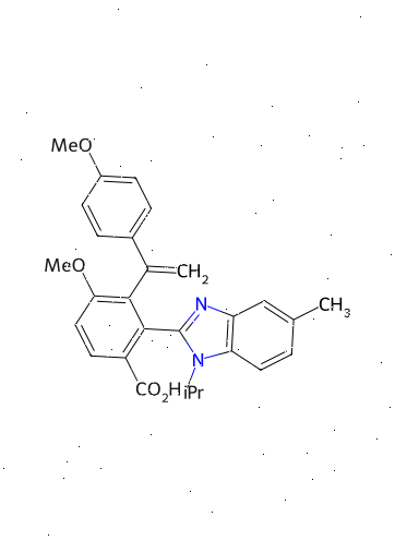 C=C(c1ccc(OC)cc1)c1c(OC)ccc(C(=O)O)c1-c1nc2cc(C)ccc2n1C(C)C